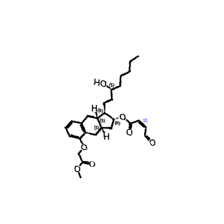 CCCCC[C@H](O)CC[C@@H]1[C@H]2Cc3cccc(OCC(=O)OC)c3C[C@H]2C[C@H]1OC(=O)/C=C\C=O